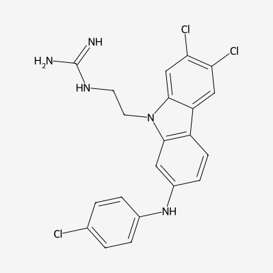 N=C(N)NCCn1c2cc(Nc3ccc(Cl)cc3)ccc2c2cc(Cl)c(Cl)cc21